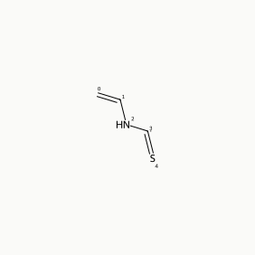 C=CN[C]=S